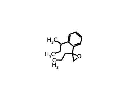 CCCC1(c2ccccc2C(C)CC)CO1